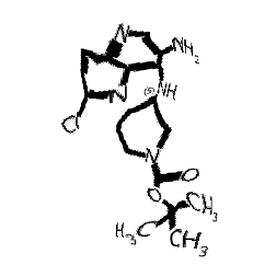 CC(C)(C)OC(=O)N1CCC[C@H](Nc2c(N)cnc3ccc(Cl)nc23)C1